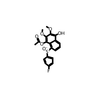 COc1c(OC)c(OC(C)=O)c2c([S+]([O-])c3ccc(F)cc3)cccc2c1O